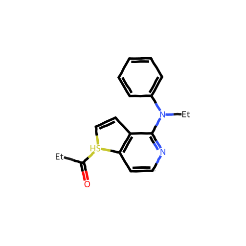 CCC(=O)[SH]1C=Cc2c1c[c]nc2N(CC)c1ccccc1